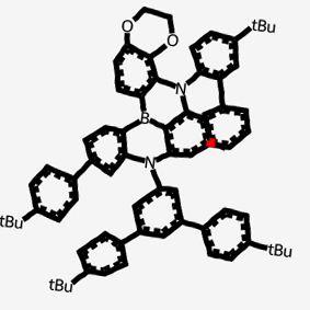 Cc1cc2c3c(c1)N(c1ccc(C(C)(C)C)cc1-c1ccccc1)c1c(ccc4c1OCCO4)B3c1ccc(-c3ccc(C(C)(C)C)cc3)cc1N2c1cc(-c2ccc(C(C)(C)C)cc2)cc(-c2ccc(C(C)(C)C)cc2)c1